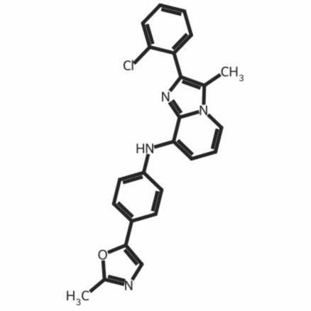 Cc1ncc(-c2ccc(Nc3cccn4c(C)c(-c5ccccc5Cl)nc34)cc2)o1